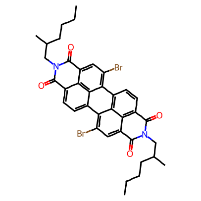 CCCCC(C)CN1C(=O)c2ccc3c4c(Br)cc5c6c(ccc(c7c(Br)cc(c2c37)C1=O)c64)C(=O)N(CC(C)CCCC)C5=O